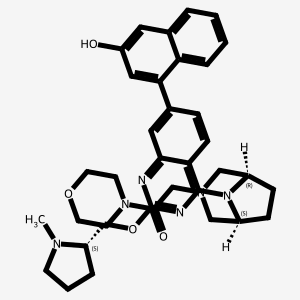 CN1CCC[C@H]1COc1nc(N2[C@@H]3CC[C@H]2CN(CC(=O)N2CCOCC2)C3)c2ccc(-c3cc(O)cc4ccccc34)cc2n1